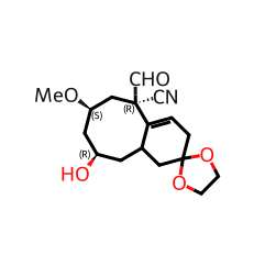 CO[C@@H]1C[C@H](O)CC2CC3(CC=C2[C@](C#N)(C=O)C1)OCCO3